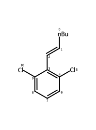 CCCC/C=C/c1c(Cl)cccc1Cl